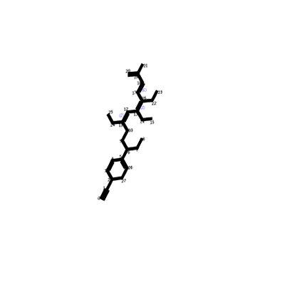 C#CC1C=CC(C(CC)CC\C(=C/C(CC)=C(\C=C\C(=C)C)CC)CC)=CC1